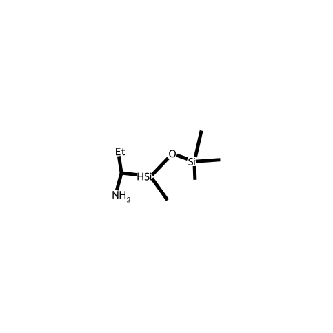 CCC(N)[SiH](C)O[Si](C)(C)C